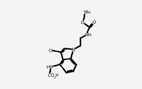 CC(C)(C)OC(=O)NCCn1cc(Cl)c2c(NC(=O)O)cccc21